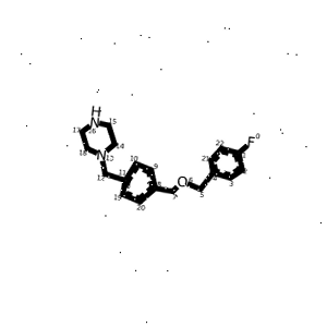 Fc1ccc(COCc2ccc(CN3CCNCC3)cc2)cc1